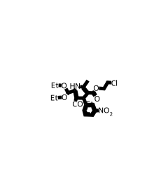 CCOC(=O)C1=C(C(OCC)OCC)NC(C)=C(C(=O)OCCCl)C1c1cccc([N+](=O)[O-])c1